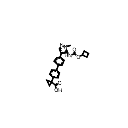 Cn1ncc(-c2ccc(-c3ccc(C4(C(=O)O)CC4)cc3)cc2)c1NC(=O)OC1CCC1